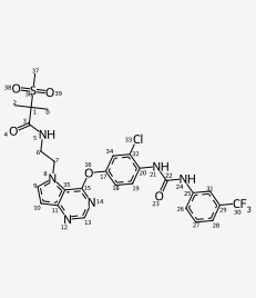 CC(C)(C(=O)NCCn1ccc2ncnc(Oc3ccc(NC(=O)Nc4cccc(C(F)(F)F)c4)c(Cl)c3)c21)S(C)(=O)=O